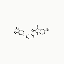 O=C1C(=O)N(CN2CCN(Cc3ccc4c(c3)OCO4)CC2)c2ccc(Br)cc21